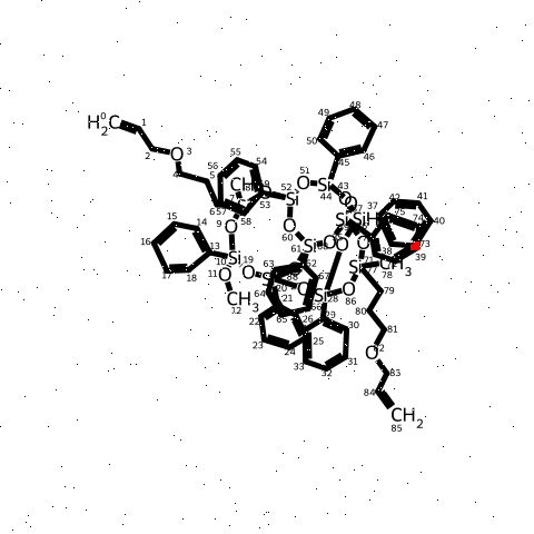 C=CCOCCC[Si]1(C)O[Si](OC)(c2ccccc2)O[Si]2(c3ccccc3)O[Si]3(c4ccccc4)O[SiH](c4ccccc4)O[Si]4(c5ccccc5)O[Si](c5ccccc5)(O1)O[Si](c1ccccc1)(O[Si](c1ccccc1)(O[Si](C)(CCCOCC=C)O3)O4)O2